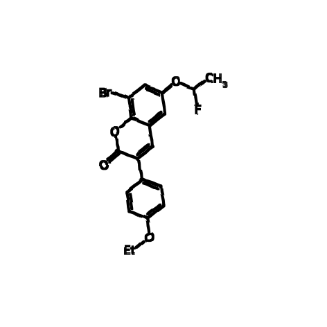 CCOc1ccc(-c2cc3cc(OC(C)F)cc(Br)c3oc2=O)cc1